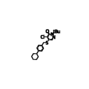 CC(C)(C)n1ncc(SCc2ccc(C3CCCCC3)cc2)c(Cl)c1=O